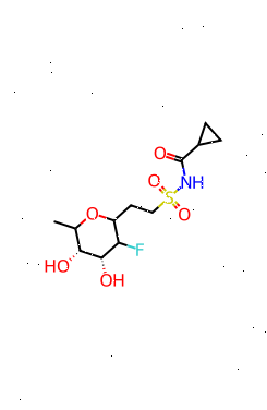 CC1OC(CCS(=O)(=O)NC(=O)C2CC2)C(F)[C@H](O)[C@@H]1O